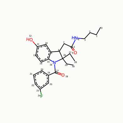 CCCCNC(=O)CC1c2cc(O)ccc2N(C(=O)c2cccc(F)c2)C1(CC)CC